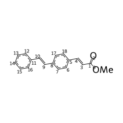 COC(=O)C=Cc1ccc(C=Cc2ccccc2)cc1